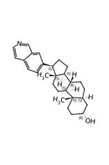 C[C@]12CC[C@@H](O)C[C@@H]1CC[C@@H]1[C@@H]2CC[C@]2(C)[C@@H](c3ccc4ccncc4c3)CC[C@@H]12